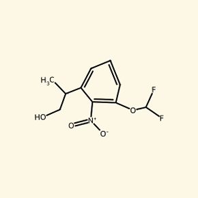 C[C](CO)c1cccc(OC(F)F)c1[N+](=O)[O-]